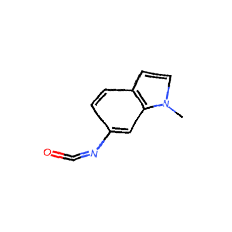 Cn1ccc2ccc(N=C=O)cc21